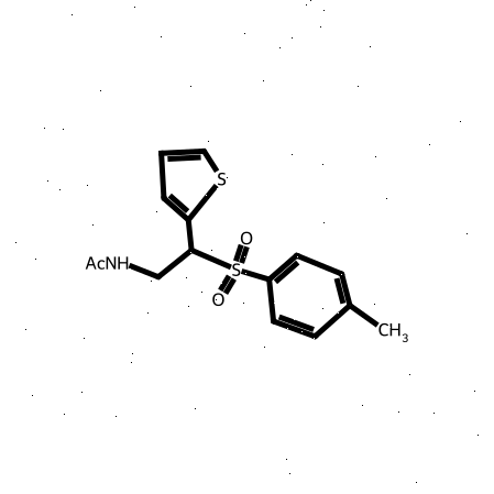 CC(=O)NCC(c1cccs1)S(=O)(=O)c1ccc(C)cc1